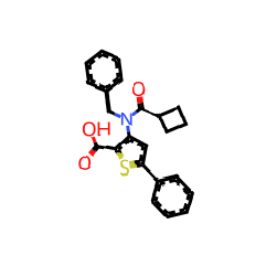 O=C(O)c1sc(-c2ccccc2)cc1N(Cc1ccccc1)C(=O)C1CCC1